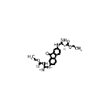 CCOC(=O)NC(=N)Nc1ccc2c(c1)C(=O)c1cc(NC(=N)NC(=O)OCC)ccc1-2